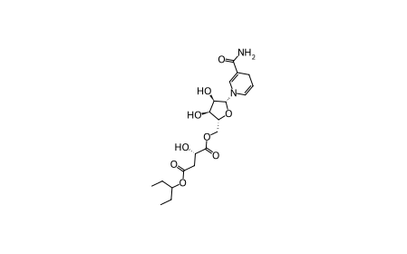 CCC(CC)OC(=O)C[C@H](O)C(=O)OC[C@H]1O[C@@H](N2C=CCC(C(N)=O)=C2)[C@H](O)[C@@H]1O